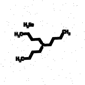 CCCCP(CCCC)CCCC.[SeH2]